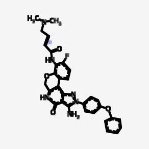 CN(C)C/C=C/C(=O)Nc1c(F)ccc2c1OCc1[nH]c(=O)c3c(N)n(-c4ccc(Oc5ccccc5)cc4)nc3c1-2